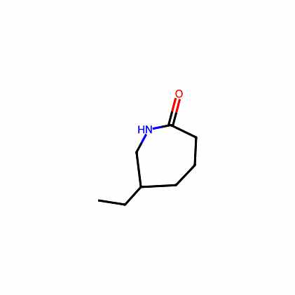 CCC1CCCC(=O)NC1